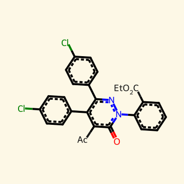 CCOC(=O)c1ccccc1-n1nc(-c2ccc(Cl)cc2)c(-c2ccc(Cl)cc2)c(C(C)=O)c1=O